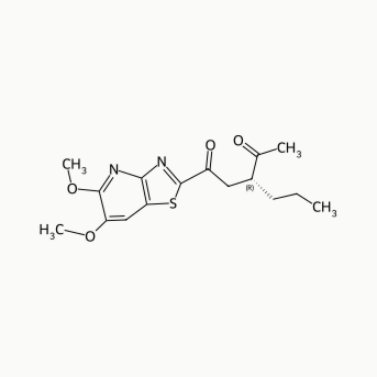 CCC[C@H](CC(=O)c1nc2nc(OC)c(OC)cc2s1)C(C)=O